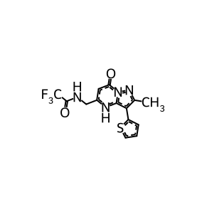 Cc1nn2c(=O)cc(CNC(=O)C(F)(F)F)[nH]c2c1-c1cccs1